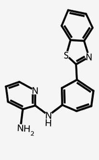 Nc1cccnc1Nc1cccc(-c2nc3ccccc3s2)c1